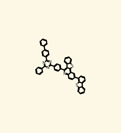 c1ccc(-c2ccc(-c3nc(-c4ccccc4)nc(-c4ccc(-c5nc6ccc(-c7cccc8c7sc7ccccc78)cc6c6sc7ccccc7c56)cc4)n3)cc2)cc1